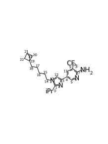 CC(C)c1nc(-c2cnc(N)c(C(F)(F)F)c2)cn1CCCCCC12CC(C1)C2